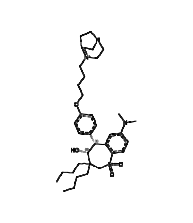 CCCCC1(CCCC)CS(=O)(=O)c2ccc(N(C)C)cc2[C@@H](c2ccc(OCCCC[N+]3=C4CCN(CC3)C4)cc2)[C@H]1O